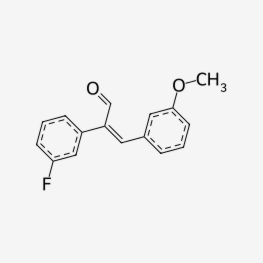 COc1cccc(C=C(C=O)c2cccc(F)c2)c1